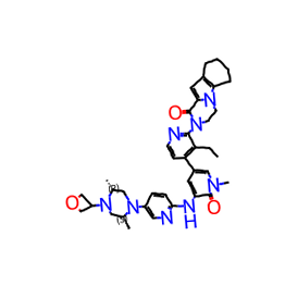 CCc1c(-c2cc(Nc3ccc(N4C[C@@H](C)N(C5COC5)C[C@@H]4C)cn3)c(=O)n(C)c2)ccnc1N1CCn2c(cc3c2CCCC3)C1=O